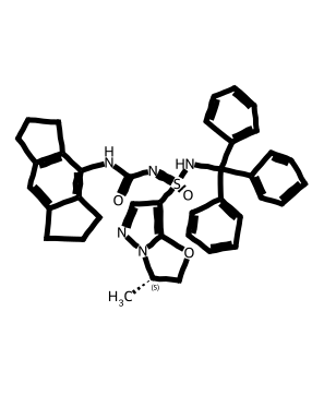 C[C@H]1COc2c(S(=O)(=NC(=O)Nc3c4c(cc5c3CCC5)CCC4)NC(c3ccccc3)(c3ccccc3)c3ccccc3)cnn21